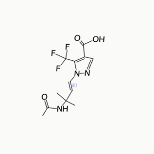 CC(=O)NC(C)(C)/C=C/n1ncc(C(=O)O)c1C(F)(F)F